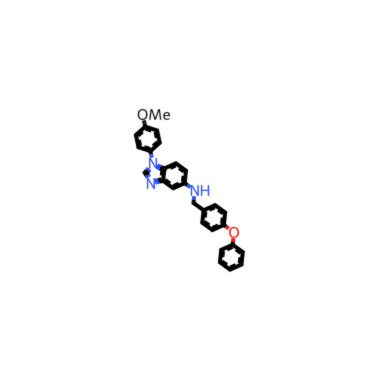 COc1ccc(-n2cnc3cc(NCc4ccc(Oc5ccccc5)cc4)ccc32)cc1